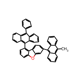 Cc1c2ccccc2c(-c2ccc3c(c2)oc2cccc(-c4c5ccccc5c(-c5ccccc5)c5ccccc45)c23)c2ccccc12